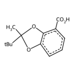 CC(C)(C)C1(C)Oc2cccc(C(=O)O)c2O1